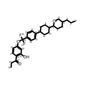 CCCC1CCC(C2CCC(c3ccc(C(F)(F)Oc4ccc(C(=O)CC)c(O)c4)cc3)CC2)OC1